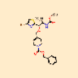 CC(C)(C)OC(=O)NC(C(=O)O)C(OCC1=CCN(C(=O)OCc2ccccc2)CC1)c1nc(Br)cs1